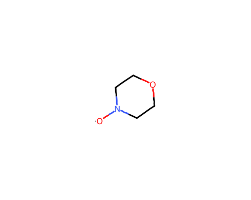 [O]N1CCOCC1